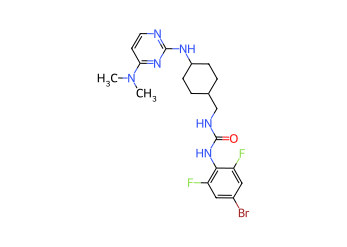 CN(C)c1ccnc(NC2CCC(CNC(=O)Nc3c(F)cc(Br)cc3F)CC2)n1